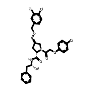 O=C(N[C@H](O)Cc1ccccc1)[C@@H]1CC(=NOCc2ccc(Cl)c(Cl)c2)CN1C(=O)COc1ccc(Cl)cc1